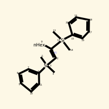 CCCCCC/C(=C\[Si](C)(C)c1ccccc1)[Si](C)(C)c1ccccc1